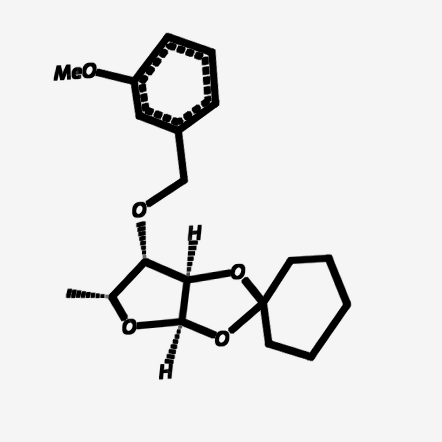 COc1cccc(CO[C@@H]2[C@H]3OC4(CCCCC4)O[C@H]3O[C@@H]2C)c1